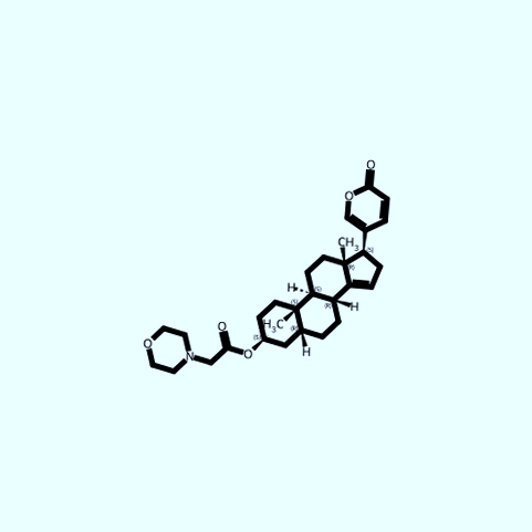 C[C@]12CC[C@H](OC(=O)CN3CCOCC3)C[C@H]1CC[C@H]1C3=CC[C@H](c4ccc(=O)oc4)[C@@]3(C)CC[C@@H]12